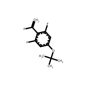 C=C(F)c1c(F)cc(OC(C)(C)C)cc1F